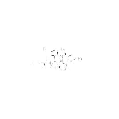 COC(=O)NN(C)C(=O)c1cc(Br)cc(Br)c1NC(=O)c1cc(Br)nn1-c1ncccc1Cl